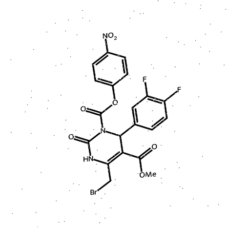 COC(=O)C1=C(CBr)NC(=O)N(C(=O)Oc2ccc([N+](=O)[O-])cc2)C1c1ccc(F)c(F)c1